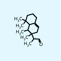 CC(C=O)C1(C)CC=C2CCCC(C)(C)C2C1C